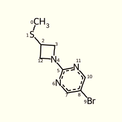 CSC1CN(c2ncc(Br)cn2)C1